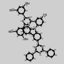 CC(C)(C)c1cc(-c2nc(-c3cc(C(C)(C)C)cc(C(C)(C)C)c3)nc(-c3cc(C#N)ccc3-n3c4ccccc4c4cc(-c5nc(-c6ccccc6)nc(-c6ccccc6)n5)ccc43)n2)cc(C(C)(C)C)c1